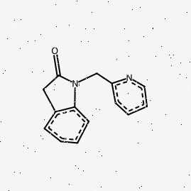 O=C1Cc2ccccc2N1Cc1ccccn1